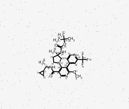 COc1ncc(C(=O)N[C@@H](C)C2CC2)c(N2CC[C@](C)(NC(=O)OC(C)(C)C)C2)c1-c1ccnc(C(F)(F)F)c1